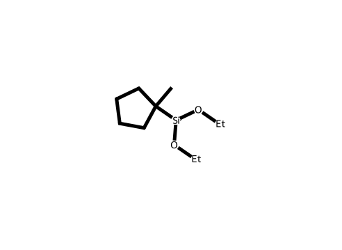 CCO[Si](OCC)C1(C)CCCC1